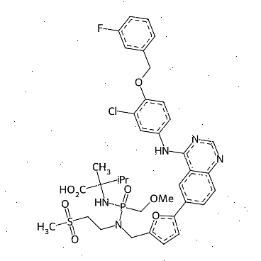 COCP(=O)(NC(C)(C(=O)O)C(C)C)N(CCS(C)(=O)=O)Cc1ccc(-c2ccc3ncnc(Nc4ccc(OCc5cccc(F)c5)c(Cl)c4)c3c2)o1